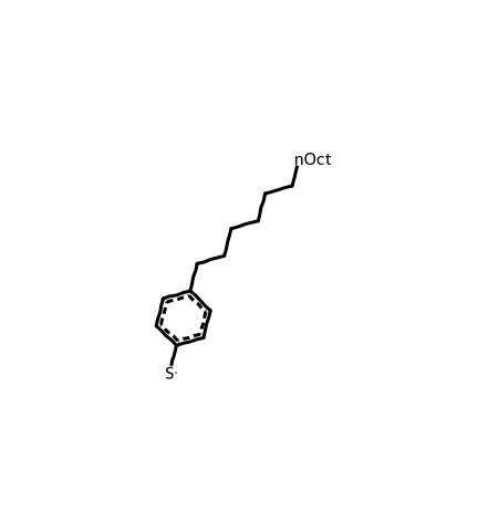 CCCCCCCCCCCCCCc1ccc([S])cc1